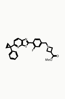 COC(=O)C1CN(Cc2ccc(-c3nc4ccc(C5(c6ccccc6)C=C5)nc4s3)c(F)c2)C1